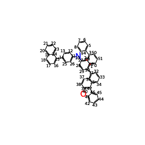 c1ccc(-c2ccccc2N(c2ccc(-c3cccc4ccccc34)cc2)c2ccc(-c3cccc4c3ccc3oc5ccccc5c34)cc2)cc1